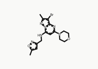 Cc1cc(CNc2cc(N3CCOCC3)nc3c(Br)c(C)nn23)no1